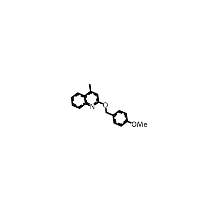 COc1ccc(COc2cc(C)c3ccccc3n2)cc1